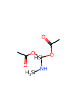 CC(=O)O[SiH](N[SiH3])OC(C)=O